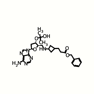 CC(C)(O)O[C@H]1C[C@H](n2cnc3c(N)ncnc32)O[C@@H]1CNC1CC(CCC(=O)OCc2ccccc2)C1